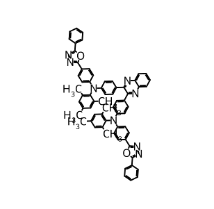 Cc1cc(C)c(N(c2ccc(-c3nnc(-c4ccccc4)o3)cc2)c2ccc(-c3nc4ccccc4nc3-c3ccc(N(c4ccc(-c5nnc(-c6ccccc6)o5)cc4)c4c(C)cc(C)cc4C)cc3)cc2)c(C)c1